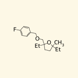 CCC1(C)CCC(CC)(COCc2ccc(F)cc2)O1